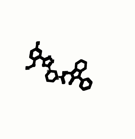 CCOc1ccc(Cl)cc1-c1nnc([C@H]2CCC[C@@H](C(=O)Nc3c4n(n(-c5ccccc5)c3=O)CCCC4)C2)o1